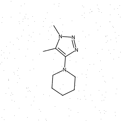 Cc1c(N2CCCCC2)nnn1C